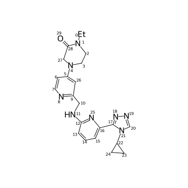 CCN1CCN(c2ccnc(CNc3cccc(-c4nncn4C4CC4)n3)c2)CC1=O